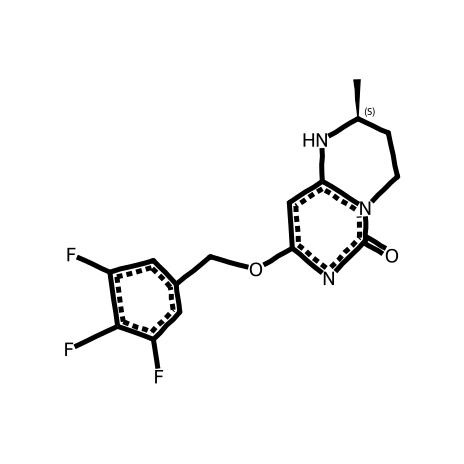 C[C@H]1CCn2c(cc(OCc3cc(F)c(F)c(F)c3)nc2=O)N1